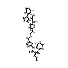 C=C/C=C(/C(=O)Nc1nnc(CCCCc2nnc(N(C)C(=O)c3ccnn3-c3ccccc3)s2)s1)N(C)c1ccccc1